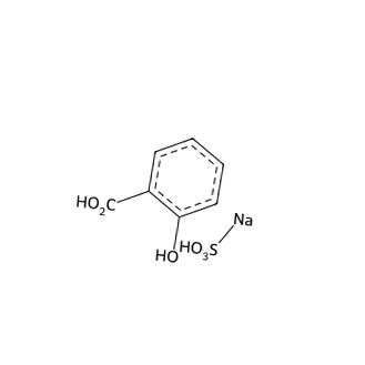 O=C(O)c1ccccc1O.O=[S](=O)(O)[Na]